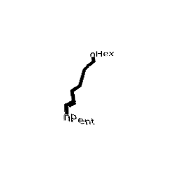 CCCCC/C=C/CCCCCCCCCC